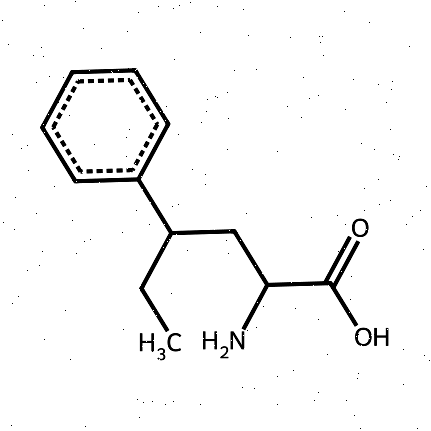 CCC(CC(N)C(=O)O)c1ccccc1